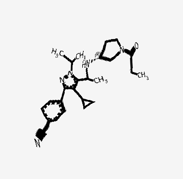 CCC(=O)N1CC[C@@H](NC(C)c2c(C3CC3)c(-c3ccc(C#N)cc3)nn2C(C)C)C1